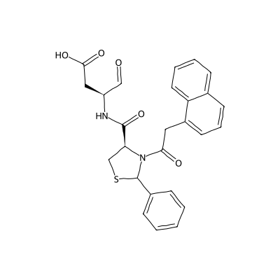 O=C[C@H](CC(=O)O)NC(=O)[C@@H]1CSC(c2ccccc2)N1C(=O)Cc1cccc2ccccc12